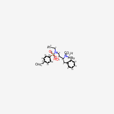 CC(C)CN(C[C@@H](O)[C@H](Cc1ccccc1)N(C(=O)O)C(C)(C)C)S(=O)(=O)c1ccc(C=O)cc1